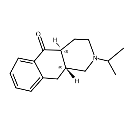 CC(C)N1CC[C@@H]2C(=O)c3ccccc3C[C@H]2C1